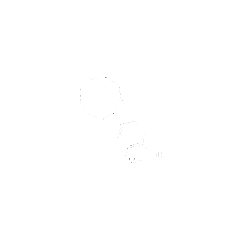 COc1cc(C2OCCCCCCO2)ccc1O